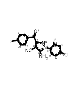 Cc1ccc(C(=O)c2nn(-c3ccc(Cl)cc3I)c(N)c2C#N)cc1